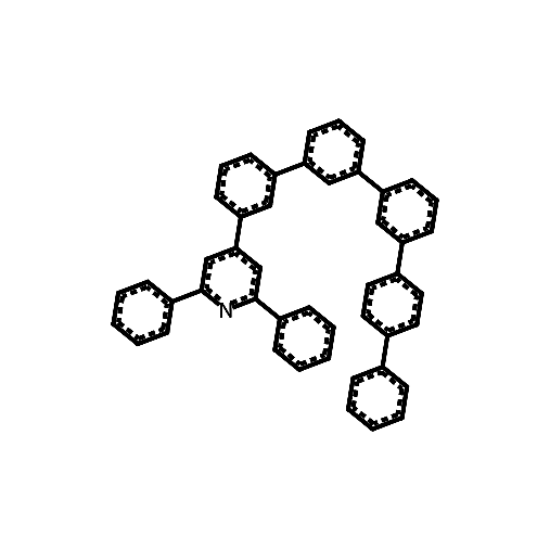 c1ccc(-c2ccc(-c3cccc(-c4cccc(-c5cccc(-c6cc(-c7ccccc7)nc(-c7ccccc7)c6)c5)c4)c3)cc2)cc1